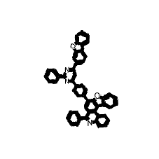 c1ccc(-c2nc(-c3ccc(-c4cc5c(-c6ccccc6)nc6ccccc6c5c5c4oc4ccccc45)cc3)cc(-c3ccc4c(c3)oc3ccccc34)n2)cc1